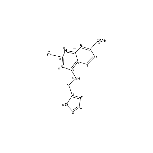 COc1ccc2c(NCc3ccco3)nc(Cl)nc2c1